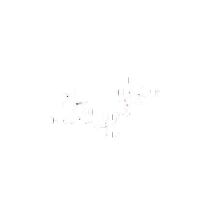 CCC(C)(CC)OC(=O)OCCC(C)(C)OCCC(C)(CC)OC(=O)C(F)(F)F